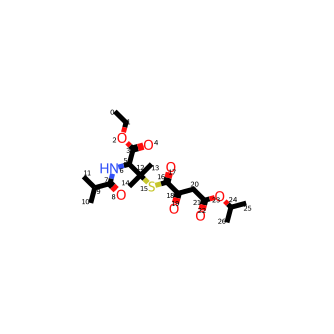 CCOC(=O)C(NC(=O)C(C)C)C(C)(C)SC(=O)C(=O)CC(=O)OC(C)C